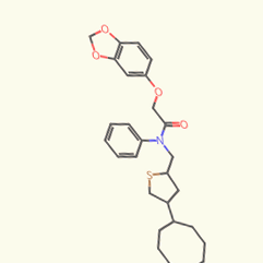 O=C(COc1ccc2c(c1)OCO2)N(CC1CC(C2CCCCCCC2)CS1)c1ccccc1